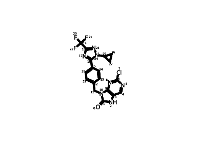 O=c1[nH]c2cnc(Cl)nc2n1Cc1ccc(-c2nc(C(F)(F)F)nn2C2CC2)cc1